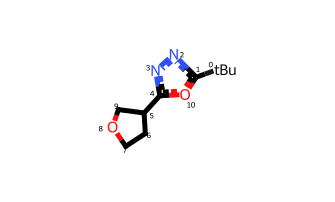 CC(C)(C)c1nnc(C2CCOC2)o1